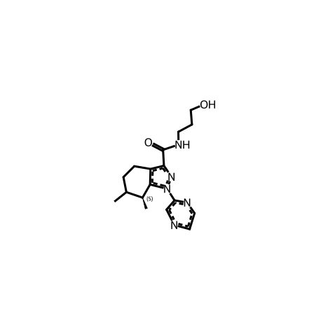 CC1CCc2c(C(=O)NCCCO)nn(-c3cnccn3)c2[C@H]1C